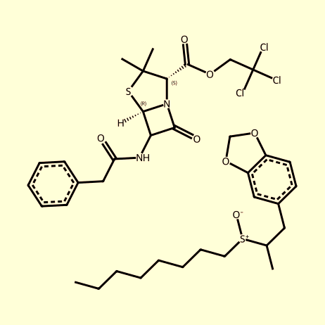 CC1(C)S[C@@H]2C(NC(=O)Cc3ccccc3)C(=O)N2[C@H]1C(=O)OCC(Cl)(Cl)Cl.CCCCCCCC[S+]([O-])C(C)Cc1ccc2c(c1)OCO2